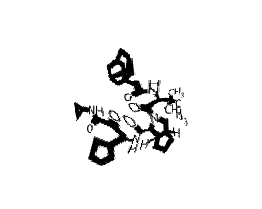 CC(C)(C)[C@H](NC(=O)CC12CC3CC(CC(C3)C1)C2)C(=O)N1C[C@@H]2CCC[C@@H]2[C@H]1C(=O)N[C@H](C(=O)C(=O)NC1CC1)C1CCCC1